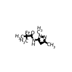 CCC(C)(C)C(=O)Nc1cc(C)nn1C